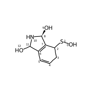 OSC1CC=CC2=C1[C@H](O)NC2O